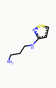 NCCCNc1ccsn1